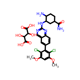 COc1cc(OC)c(Cl)c(-c2ccc3nc(NC4CC(C(N)=O)CCC4N)ncc3c2)c1Cl.O=C(O)C(O)C(O)C(=O)O